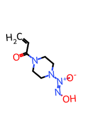 C=CC(=O)N1CCN([N+]([O-])=NO)CC1